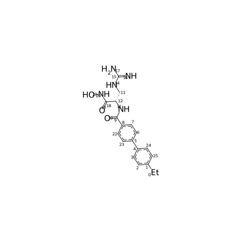 CCc1ccc(-c2ccc(C(=O)N[C@@H](CNC(=N)N)C(=O)NO)cc2)cc1